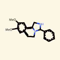 COc1cc2c(cc1OC)=C1CNC(c3ccccc3)N1CC=2